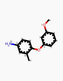 COc1cccc(Oc2ccc(N)cc2C)c1